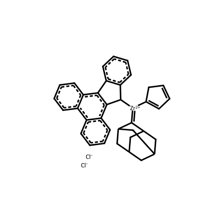 C1=CC[C]([Zr+2](=[C]2C3CC4CC(C3)CC2C4)[CH]2c3ccccc3-c3c2c2ccccc2c2ccccc32)=C1.[Cl-].[Cl-]